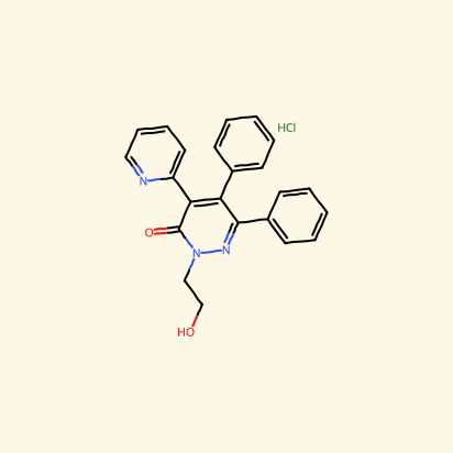 Cl.O=c1c(-c2ccccn2)c(-c2ccccc2)c(-c2ccccc2)nn1CCO